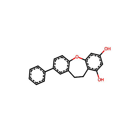 Oc1cc(O)c2c(c1)Oc1ccc(-c3ccccc3)cc1CC2